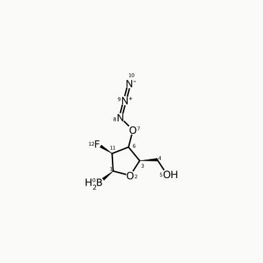 B[C@@H]1O[C@H](CO)C(ON=[N+]=[N-])[C@@H]1F